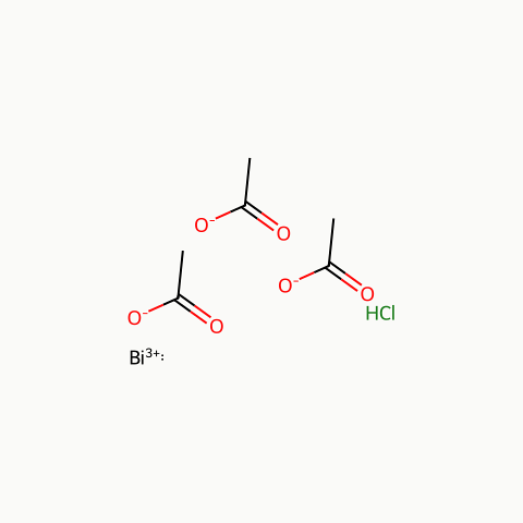 CC(=O)[O-].CC(=O)[O-].CC(=O)[O-].Cl.[Bi+3]